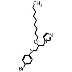 CCCCCCCCCOC(CSc1ccc(Br)cc1)Cn1ccnc1